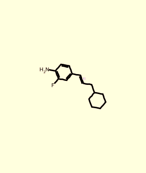 Nc1ccc(/C=C/CC2CCCCC2)cc1F